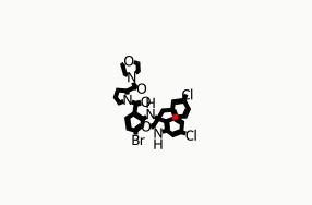 O=C(C1CCCN1C(=O)c1ccc(Br)cc1NC1(Cc2cccc(Cl)c2)C(=O)Nc2cc(Cl)ccc21)N1CCOCC1